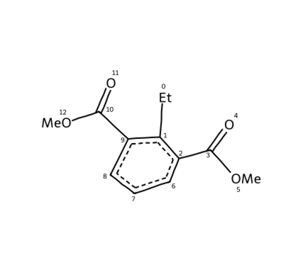 CCc1c(C(=O)OC)cccc1C(=O)OC